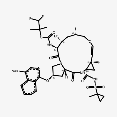 CC[C@@H]1C[C@H](C)CCC=C[C@@H]2C[C@@]2(C(=O)NS(=O)(=O)C2(C)CC2)NC(=O)[C@@H]2C[C@@H](Oc3ncc(OC)c4ccccc34)CN2C(=O)[C@H]1NC(=O)OC(C)(C)C(F)F